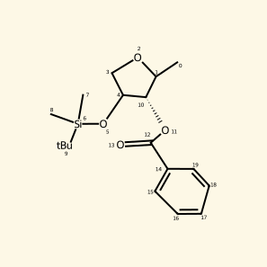 CC1OCC(O[Si](C)(C)C(C)(C)C)[C@H]1OC(=O)c1ccccc1